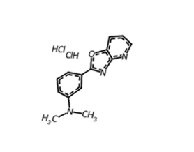 CN(C)c1cccc(-c2nc3ncccc3o2)c1.Cl.Cl